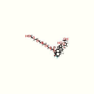 C[C@H]1[C@@]23CC[C@]4(C)[C@@H]([C@]5(C)CC[C@@H](C(C)(C)O)O5)[C@@H](O)C[C@@]4(C)[C@@H]2C[C@H](OC(=O)COCCOCCOCCOCCOCCO)[C@H]2C(C)(C)C(F)(F)CC[C@@]123